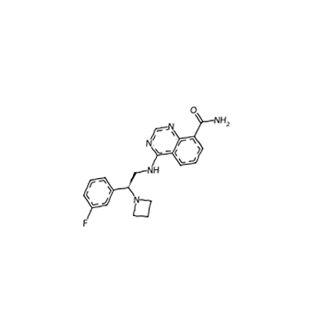 NC(=O)c1cccc2c(NC[C@H](c3cccc(F)c3)N3CCC3)ncnc12